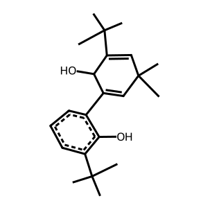 CC1(C)C=C(c2cccc(C(C)(C)C)c2O)C(O)C(C(C)(C)C)=C1